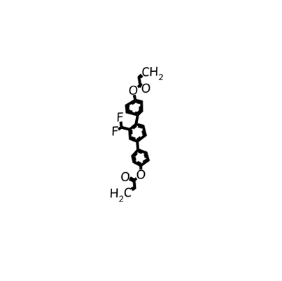 C=CC(=O)Oc1ccc(-c2ccc(-c3ccc(OC(=O)C=C)cc3)c(C(F)F)c2)cc1